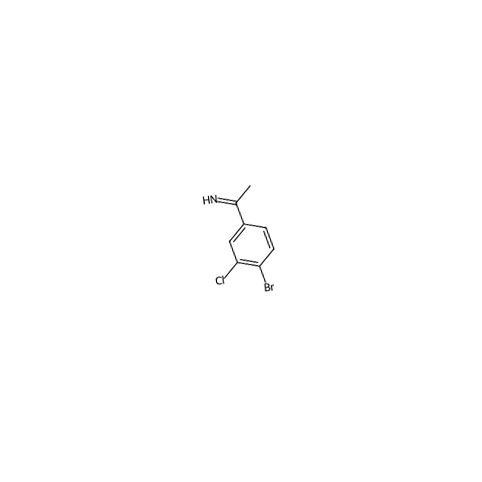 CC(=N)c1ccc(Br)c(Cl)c1